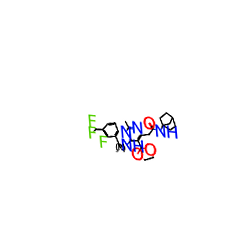 Cc1nc(CC(=O)NC23CCC(CC2)C3)c(C2OCCO2)c(N[C@H](C)c2cccc(C(F)F)c2F)n1